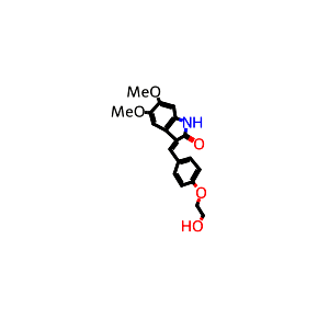 COc1cc2c(cc1OC)/C(=C/c1ccc(OCCO)cc1)C(=O)N2